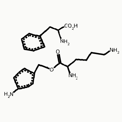 NC(Cc1ccccc1)C(=O)O.NCCCCC(N)C(=O)OCc1ccc(N)cc1